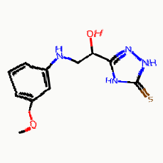 COc1cccc(NCC(O)c2n[nH]c(=S)[nH]2)c1